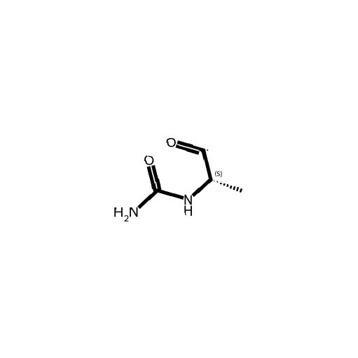 C[C@@H]([C]=O)NC(N)=O